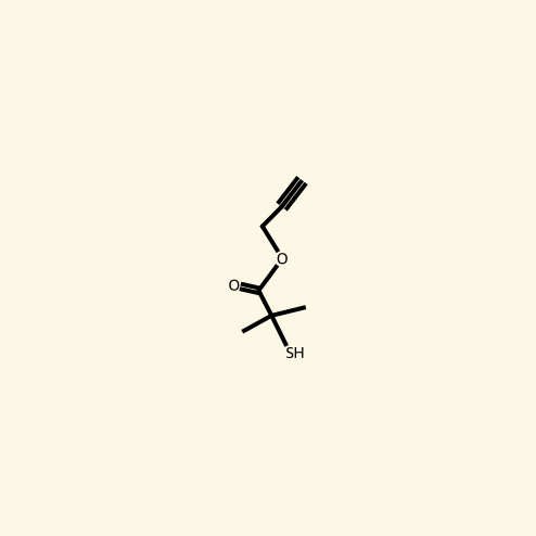 C#CCOC(=O)C(C)(C)S